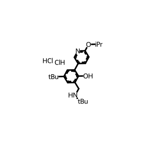 CC(C)Oc1ccc(-c2cc(C(C)(C)C)cc(CNC(C)(C)C)c2O)cn1.Cl.Cl